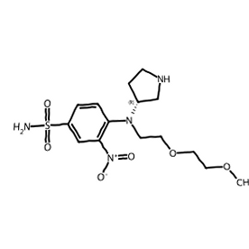 COCCOCCN(c1ccc(S(N)(=O)=O)cc1[N+](=O)[O-])[C@@H]1CCNC1